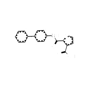 O=C(O)c1ccsc1C(=O)Nc1ccc(-c2ccccc2)cc1